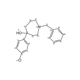 OC1(c2ccc(Cl)cc2)CCCN(Cc2ccccc2)CC1